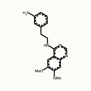 COc1cc2ncnc(NCCc3cccc(N)c3)c2cc1OC